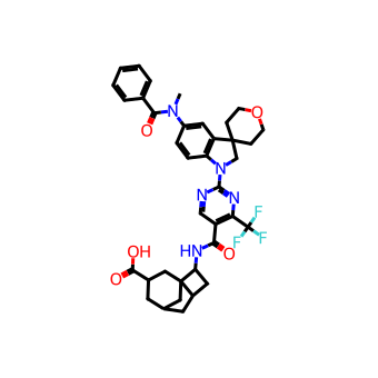 CN(C(=O)c1ccccc1)c1ccc2c(c1)C1(CCOCC1)CN2c1ncc(C(=O)NC2CC3CC4CC(C(=O)O)CC32C4)c(C(F)(F)F)n1